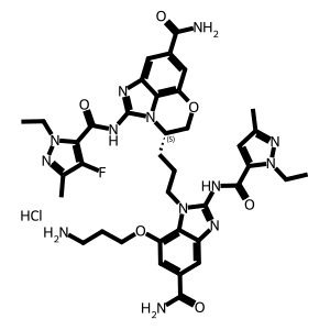 CCn1nc(C)cc1C(=O)Nc1nc2cc(C(N)=O)cc(OCCCN)c2n1CCC[C@H]1COc2cc(C(N)=O)cc3nc(NC(=O)c4c(F)c(C)nn4CC)n1c23.Cl